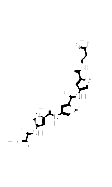 C=C(Cl)C(=O)Nc1cc(C(=O)Nc2cc(C(=O)Nc3cc(C(=O)NCCC(N)=NO)n(C)c3)n(C)c2)n(C)n1